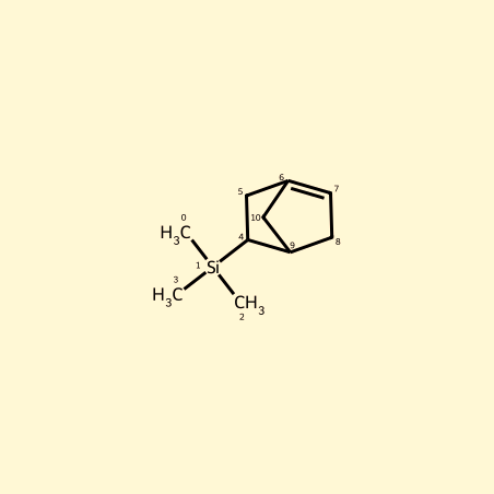 C[Si](C)(C)C1CC2=CCC1C2